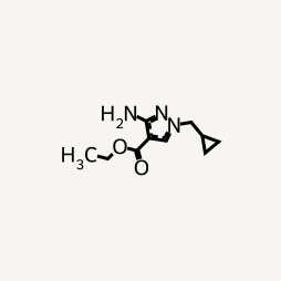 CCOC(=O)c1cn(CC2CC2)nc1N